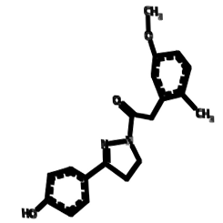 COc1ccc(C)c(CC(=O)N2CCC(c3ccc(O)cc3)=N2)c1